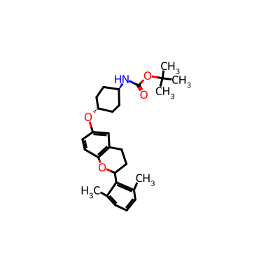 Cc1cccc(C)c1C1CCc2cc(O[C@H]3CC[C@H](NC(=O)OC(C)(C)C)CC3)ccc2O1